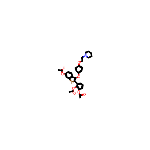 CC(=O)Oc1ccc2c(Oc3ccc(OCCN4CCCCC4)cc3)c(-c3cccc(OC(C)=O)c3OC(C)=O)sc2c1